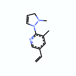 C=Cc1cnc(N2C=CCN2C)c(C)c1